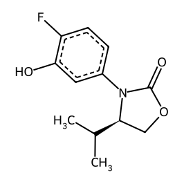 CC(C)[C@@H]1COC(=O)N1c1ccc(F)c(O)c1